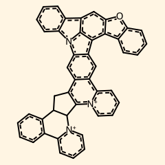 c1ccc2c(c1)-c1cccc[n+]1C1c3c(c4cc5c(cc4c4cccc[n+]34)c3c4c(cc6c7ccccc7n5c63)oc3ccccc34)CC21